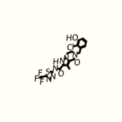 Cc1c(C(=O)Nc2nnc(C(F)(F)F)s2)nn2c1C(=O)N(Cc1cccc(O)c1Cl)CC2